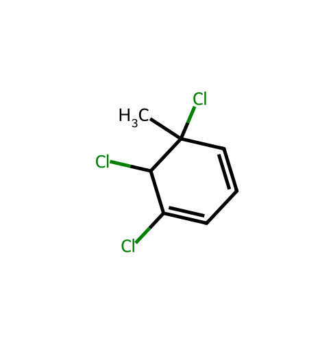 CC1(Cl)C=CC=C(Cl)C1Cl